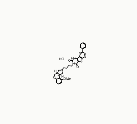 COc1cccc2c1[C@@H]1CN(CCCCn3c(=O)[nH]c4c(sc5ncc(-c6ccccc6)nc54)c3=O)C[C@@H]1CO2.Cl